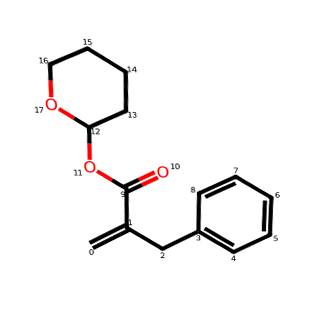 C=C(Cc1ccccc1)C(=O)OC1CCCCO1